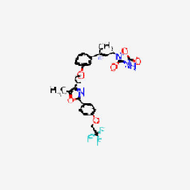 C/C(=C\Cn1oc(=O)[nH]c1=O)c1cccc(OCc2nc(-c3ccc(OCC(F)(F)F)cc3)oc2C)c1